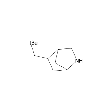 CC(C)(C)CC1CC2CC1CN2